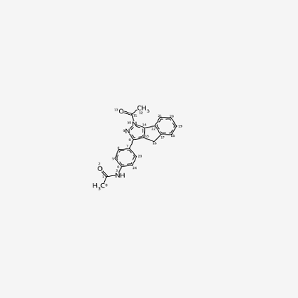 CC(=O)Nc1ccc(-c2nn(C(C)=O)c3c2Cc2ccccc2-3)cc1